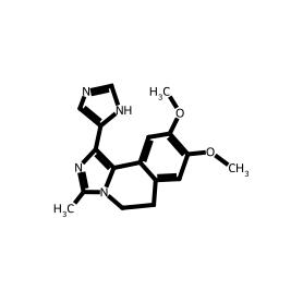 COc1cc2c(cc1OC)-c1c(-c3cnc[nH]3)nc(C)n1CC2